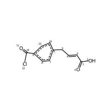 O=C(O)C=CCc1ccc(C(=O)Cl)cc1